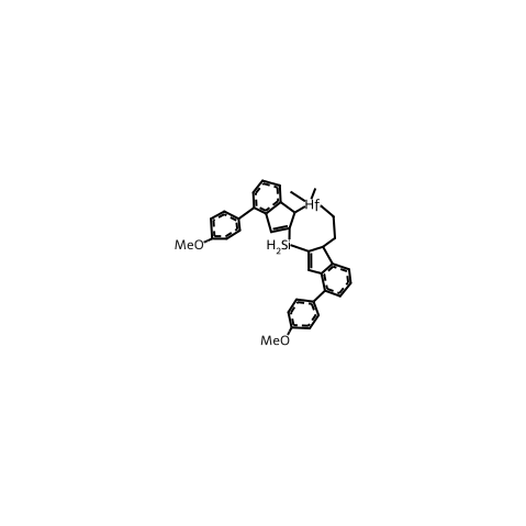 COc1ccc(-c2cccc3c2C=C2[SiH2]C4=Cc5c(-c6ccc(OC)cc6)cccc5[CH]4[Hf]([CH3])([CH3])[CH2]CCC23)cc1